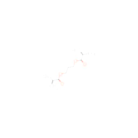 C=C(C(=O)OCCCOC(=O)C(=C)C(C)(C)C)C(C)(C)C